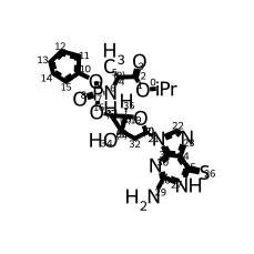 CC(C)OC(=O)[C@@H](C)NP(=O)(Oc1ccccc1)O[C@H]1[C@H]2O[C@@H](n3cnc4c(=S)[nH]c(N)nc43)C[C@]21O